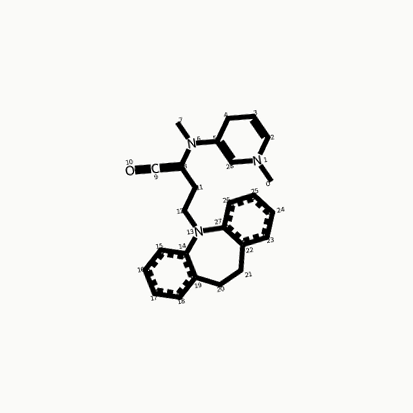 CN1C=CCC(N(C)C(=C=O)CCN2c3ccccc3CCc3ccccc32)=C1